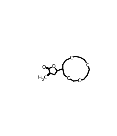 C=C1CC(C2CCCCCCCCCCCCCC2)OC1=O